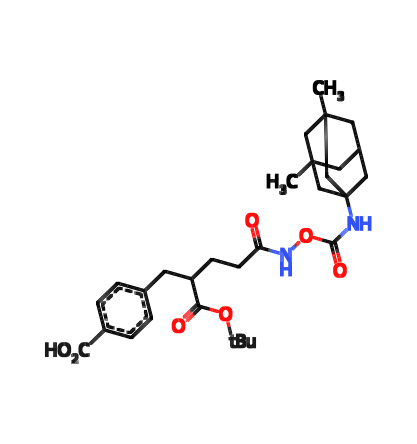 CC12CC3CC(C)(C1)CC(NC(=O)ONC(=O)CCC(Cc1ccc(C(=O)O)cc1)C(=O)OC(C)(C)C)(C3)C2